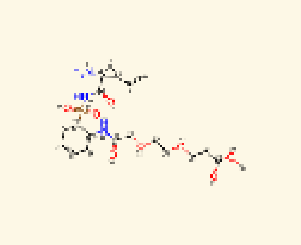 C=C[C@@H]1C[C@]1(N)C(=O)NS(=O)(=O)c1ccccc1NC(=O)COCCOCCC(=O)OC